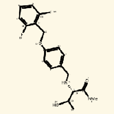 CNC(=O)[C@@H](NCc1ccc(OCc2c(F)cccc2F)cc1)C(C)O